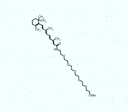 COCCOCCOCCOCCOCCOCCNC(=O)/C=C(C)/C=C/C=C(C)/C=C/C1=C(C)CCCC1(C)C